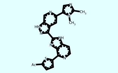 CC(=O)c1ccc(-c2nccc3[nH]c(-c4n[nH]c5cnc(-c6cnc(C)n6C)cc45)nc23)s1